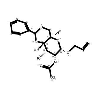 C=CCO[C@H]1O[C@@H]2COC(c3ccccc3)O[C@H]2[C@@H](O)[C@H]1NC(=O)C(Cl)(Cl)Cl